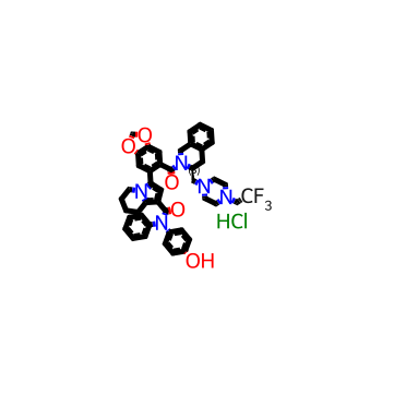 Cl.O=C(c1cc(-c2cc3c(cc2C(=O)N2Cc4ccccc4C[C@H]2CN2CCN(CC(F)(F)F)CC2)OCO3)n2c1CCCC2)N(c1ccccc1)c1ccc(O)cc1